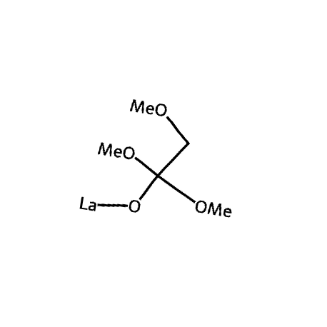 COCC(OC)(OC)[O][La]